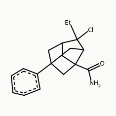 CCC1(Cl)C2CC3(c4ccccc4)CC1C(C(N)=O)(C2)C3